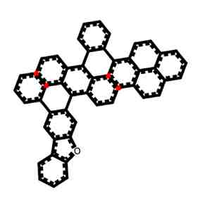 c1ccc(-c2cc3c(cc2-c2c4ccccc4c(-c4ccccc4-c4ccc5ccc6cccc7ccc4c5c67)c4ccccc24)oc2ccccc23)cc1